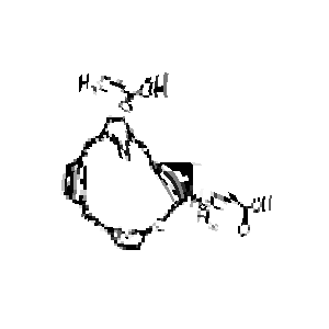 CCC(=O)O.CCC(=O)O.Cc1cc2cc3nc(cc4ccc(cc5nc(cc1[nH]2)C=C5)[nH]4)C=C3